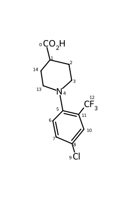 O=C(O)C1CCN(c2ccc(Cl)cc2C(F)(F)F)CC1